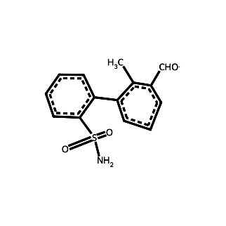 Cc1c([C]=O)cccc1-c1ccccc1S(N)(=O)=O